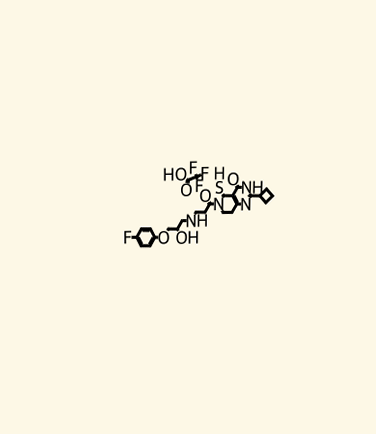 O=C(CCNCC(O)COc1ccc(F)cc1)N1CCc2nc(C3CCC3)[nH]c(=O)c2C1S.O=C(O)C(F)(F)F